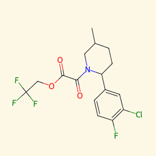 CC1CCC(c2ccc(F)c(Cl)c2)N(C(=O)C(=O)OCC(F)(F)F)C1